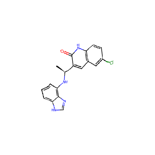 C[C@H](Nc1cccc2[nH]cnc12)c1cc2cc(Cl)ccc2[nH]c1=O